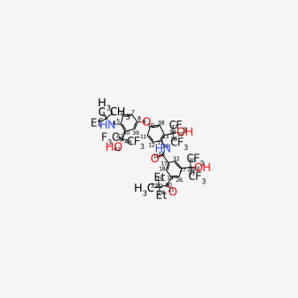 CCC(C)(C)Nc1ccc(Oc2ccc(NC(=O)c3cc(C(=O)C(C)(CC)CC)cc(C(O)(C(F)(F)F)C(F)(F)F)c3)c(C(O)(C(F)(F)F)C(F)(F)F)c2)cc1C(O)(C(F)(F)F)C(F)(F)F